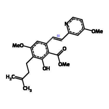 C=C(C)CCc1c(OC)cc(/C=C/c2cc(OC)ccn2)c(C(=O)OC)c1O